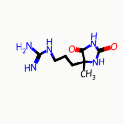 CC1(CCCNC(=N)N)NC(=O)NC1=O